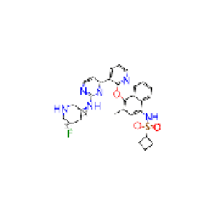 Cc1cc(NS(=O)(=O)C2CCC2)c2ccccc2c1Oc1ncccc1-c1ccnc(N[C@@H]2CNC[C@@H](F)C2)n1